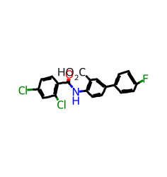 O=C(Nc1ccc(-c2ccc(F)cc2)cc1C(=O)O)c1ccc(Cl)cc1Cl